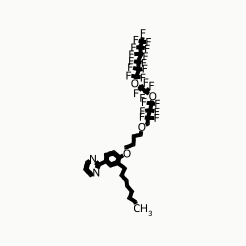 CCCCCCCCc1cc(-c2ncccn2)ccc1OCCCCOCC(F)(F)C(F)(F)C(F)(F)OC(F)(F)C(F)(F)OC(F)(F)C(F)(F)C(F)(F)C(F)(F)C(F)(F)C(F)(F)F